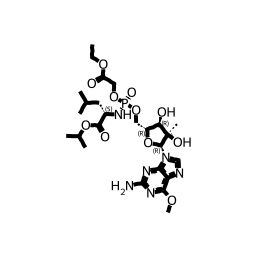 CCOC(=O)COP(=O)(N[C@@H](CC(C)C)C(=O)OC(C)C)OC[C@H]1O[C@@H](n2cnc3c(OC)nc(N)nc32)[C@](C)(O)[C@@H]1O